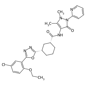 CCOc1ccc(Cl)cc1-c1nnc([C@H]2CCC[C@@H](C(=O)Nc3c(C)n(C)n(-c4ccccn4)c3=O)C2)o1